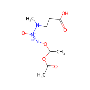 CC(=O)OC(C)O/N=[N+](/[O-])N(C)CCC(=O)O